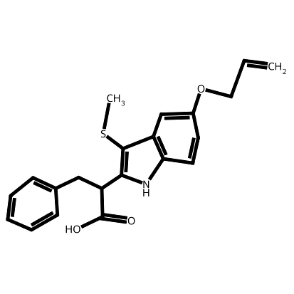 C=CCOc1ccc2[nH]c(C(Cc3ccccc3)C(=O)O)c(SC)c2c1